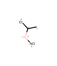 CCC(C)BN=O